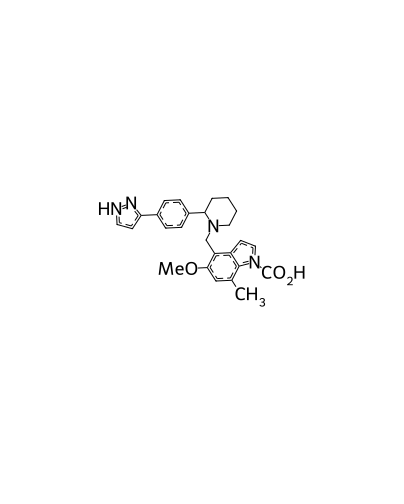 COc1cc(C)c2c(ccn2C(=O)O)c1CN1CCCCC1c1ccc(-c2cc[nH]n2)cc1